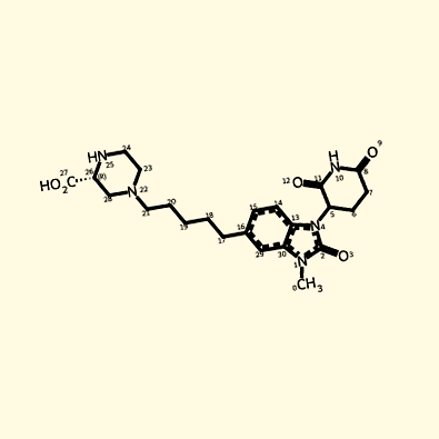 Cn1c(=O)n(C2CCC(=O)NC2=O)c2ccc(CCCCCN3CCN[C@@H](C(=O)O)C3)cc21